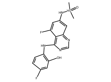 C[SH](C)(=O)Nc1cc(F)c2c(Nc3ccc(F)cc3O)ncnc2c1